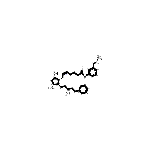 O=C(CCC/C=C\C[C@@H]1[C@@H](CC[C@@H](O)CCc2ccccc2)[C@H](O)C[C@@H]1O)Oc1cccc(CO[N+](=O)[O-])c1